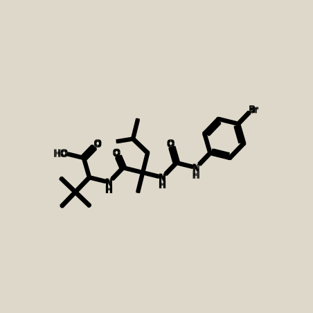 CC(C)CC(C)(NC(=O)Nc1ccc(Br)cc1)C(=O)NC(C(=O)O)C(C)(C)C